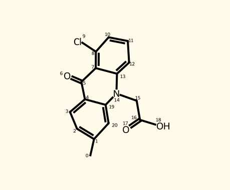 Cc1ccc2c(=O)c3c(Cl)cccc3n(CC(=O)O)c2c1